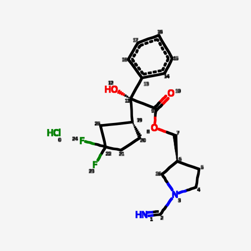 Cl.N=CN1CC[C@H](COC(=O)[C@](O)(c2ccccc2)[C@@H]2CCC(F)(F)C2)C1